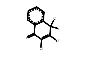 O=C1C(Cl)=C(Cl)C(Cl)(Cl)c2ccccc21